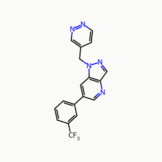 FC(F)(F)c1cccc(-c2cnc3cnn(Cc4ccnnc4)c3c2)c1